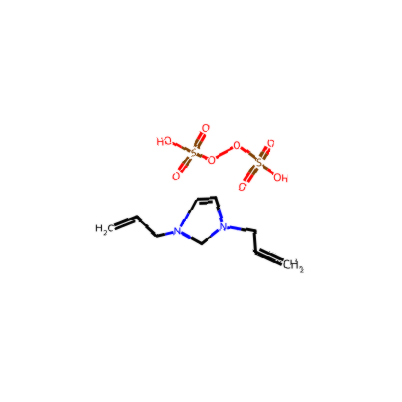 C=CCN1C=CN(CC=C)C1.O=S(=O)(O)OOS(=O)(=O)O